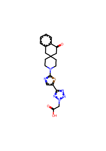 O=C(O)Cn1nnc(-c2cnc(N3CCC4(CC3)CC(=O)c3ccccc3C4)s2)n1